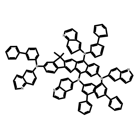 CC1(C)c2cc(N(c3cccc(-c4ccccc4)c3)c3ccc4ncccc4c3)ccc2-c2cc3c(N(c4cccc(-c5ccccc5)c4)c4ccc5ncccc5c4)c4cc(N(c5cccc(-c6ccccc6)c5)c5ccc6ncccc6c5)ccc4c(N(c4cccc(-c5ccccc5)c4)c4ccc5ncccc5c4)c3cc21